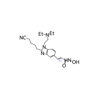 CCN(CC)CCn1c(CCCCC#N)nc2cc(/C=C/C(=O)NO)ccc21